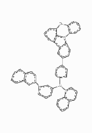 c1cc(-c2ccc3ccccc3c2)cc(N(c2ccc(-c3ccc4c(c3)c3cccc5c3n4-c3ccccc3O5)cc2)c2cccc3ccccc23)c1